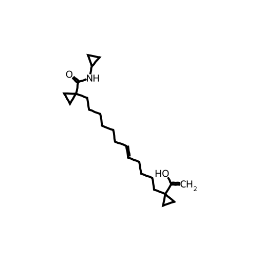 C=C(O)C1(CCCC/C=C/CCCCCCC2(C(=O)NC3CC3)CC2)CC1